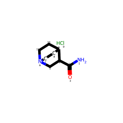 Cl.NC(=O)C1CN2CCC1CC2